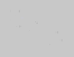 CC(C)(C)c1ccc2sc(/C=C(\O)C(F)(F)F)nc2c1